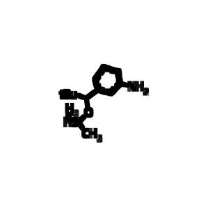 C[SiH](C)OC(c1cccc(N)c1)C(C)(C)C